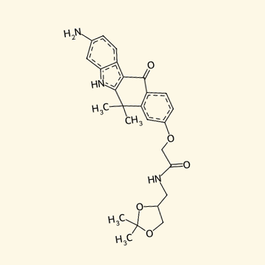 CC1(C)OCC(CNC(=O)COc2ccc3c(c2)C(C)(C)c2[nH]c4cc(N)ccc4c2C3=O)O1